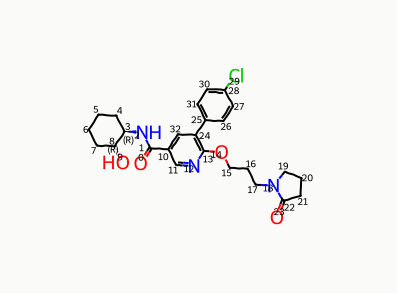 O=C(N[C@@H]1CCCC[C@H]1O)c1cnc(OCCCN2CCCC2=O)c(-c2ccc(Cl)cc2)c1